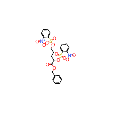 O=C(OCc1ccccc1)C(CCCOS(=O)(=O)c1ccccc1[N+](=O)[O-])OS(=O)(=O)c1ccccc1[N+](=O)[O-]